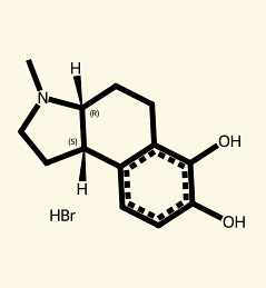 Br.CN1CC[C@H]2c3ccc(O)c(O)c3CC[C@H]21